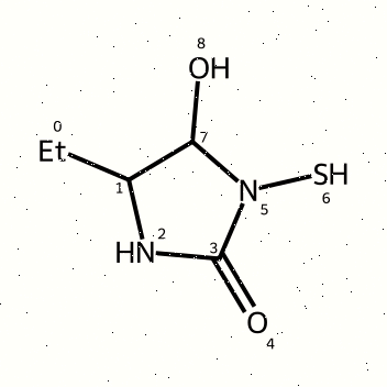 CCC1NC(=O)N(S)C1O